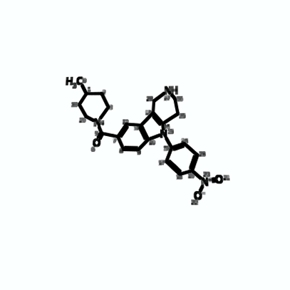 CC1CCN(C(=O)c2ccc3c(c2)c2c(n3-c3ccc([N+](=O)[O-])cc3)CCNC2)CC1